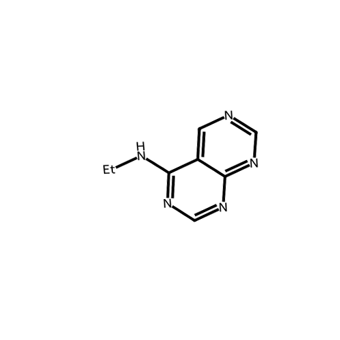 CCNc1ncnc2ncncc12